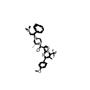 COc1ccc(-c2nc3c(C(=O)N4CCN(C(CN(C)C)c5ccccc5)C[C@H]4C)cnn3c(C(F)(F)F)c2C)cc1